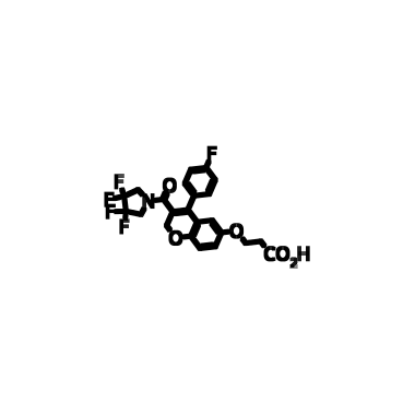 O=C(O)CCOc1ccc2c(c1)C(c1ccc(F)cc1)=C(C(=O)N1CC(F)(F)C(F)(F)C1)CO2